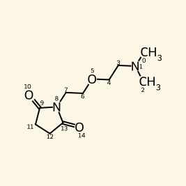 CN(C)CCOCCN1C(=O)CCC1=O